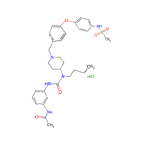 CCCCN(C(=O)Nc1cccc(NC(C)=O)c1)C1CCN(Cc2ccc(Oc3ccc(NS(C)(=O)=O)cc3)cc2)CC1.Cl